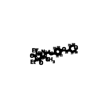 CCn1c(=O)c2c(nc(/C=C/c3ccc(OCC4CCOCC4)cc3)n2C)n(CC)c1=O